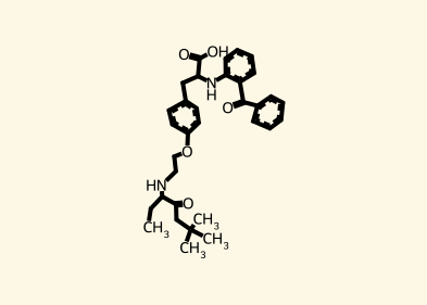 CCC(NCCOc1ccc(CC(Nc2ccccc2C(=O)c2ccccc2)C(=O)O)cc1)C(=O)CC(C)(C)C